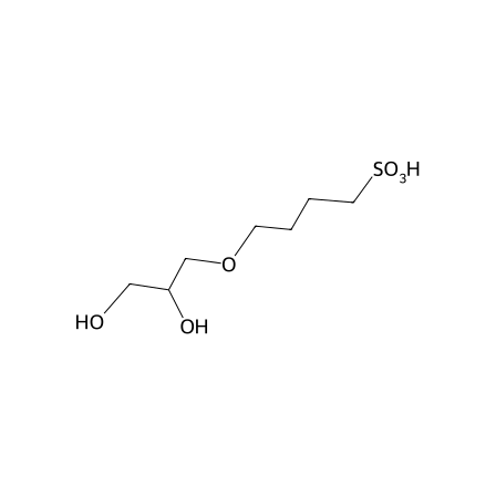 O=S(=O)(O)CCCCOCC(O)CO